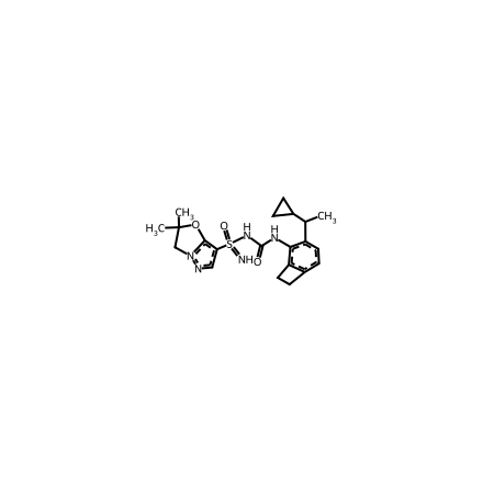 CC(c1ccc2c(c1NC(=O)NS(=N)(=O)c1cnn3c1OC(C)(C)C3)CC2)C1CC1